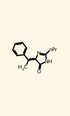 CCCC1=NC(=C(C)c2ccccc2)C(=O)N1